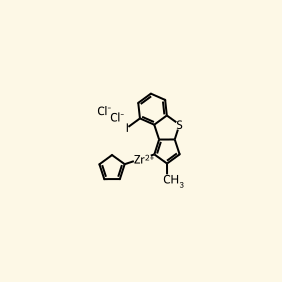 CC1=CC2Sc3cccc(I)c3C2=[C]1[Zr+2][C]1=CC=CC1.[Cl-].[Cl-]